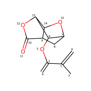 C=C(C)C(=C)OC1C2CC3C(=O)OC1C3O2